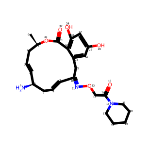 C[C@@H]1C/C=C/[C@H](N)C/C=C/C(=N/OCC(=O)N2CCCCC2)Cc2cc(O)cc(O)c2C(=O)O1